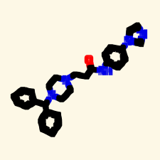 O=C(CCN1CCN(C(c2ccccc2)c2ccccc2)CC1)Nc1ccc(-n2ccnc2)cc1